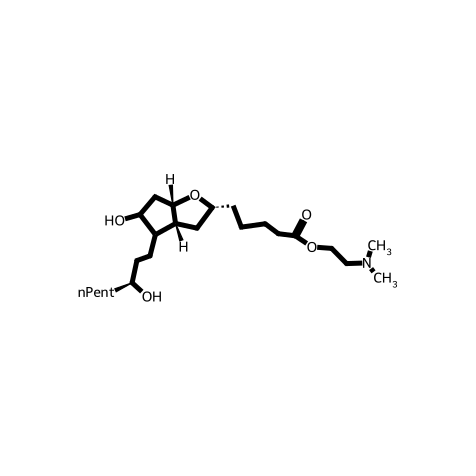 CCCCC[C@H](O)CCC1C(O)C[C@@H]2O[C@H](CCCCC(=O)OCCN(C)C)C[C@H]12